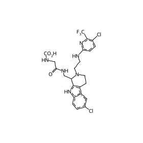 O=C(O)NCC(=O)NCC1c2[nH]c3ccc(Cl)cc3c2CCN1CCNc1ccc(Cl)c(C(F)(F)F)n1